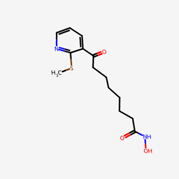 CSc1ncccc1C(=O)CCCCCCC(=O)NO